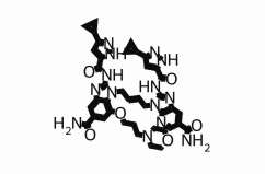 NC(=O)c1cnc2c(c1)nc(NC(=O)c1cc(C3CC3)n[nH]1)n2CC=CCn1c(NC(=O)c2cc(C3CC3)n[nH]2)nc2cc(C(N)=O)cc(OCCCN3CCOCC3)c21